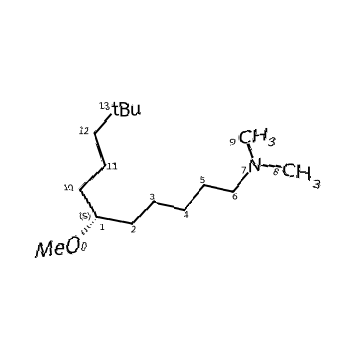 CO[C@@H](CCCCCN(C)C)CCCC(C)(C)C